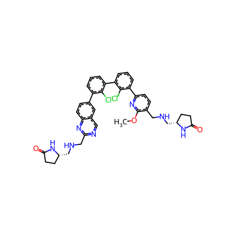 COc1nc(-c2cccc(-c3cccc(-c4ccc5nc(CNC[C@@H]6CCC(=O)N6)ncc5c4)c3Cl)c2Cl)ccc1CNC[C@@H]1CCC(=O)N1